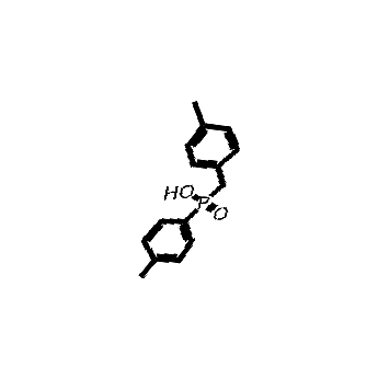 Cc1ccc(CP(=O)(O)c2ccc(C)cc2)cc1